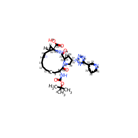 CC(C)(C)OC(=O)N[C@@H]1CCCCC/C=C\[C@@H]2C[C@]2(C(=O)O)NC(=O)[C@@H]2C[C@H](n3nnc(-c4cccnc4)n3)CN2C1=O